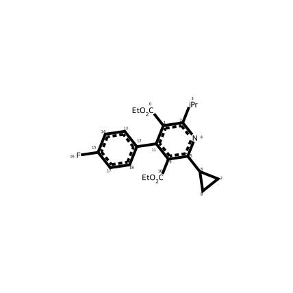 CCOC(=O)c1c(C(C)C)nc(C2CC2)c(C(=O)OCC)c1-c1ccc(F)cc1